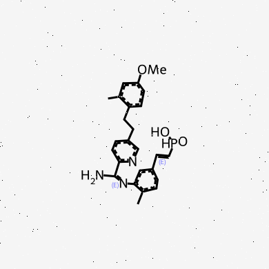 COc1ccc(CCc2ccc(/C(N)=N\c3cc(/C=C/[PH](=O)O)ccc3C)nc2)c(C)c1